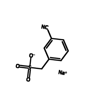 N#Cc1cccc(CS(=O)(=O)[O-])c1.[Na+]